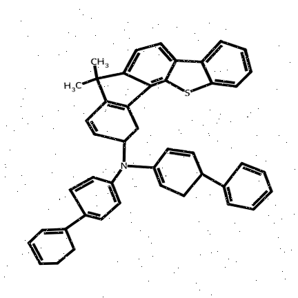 CC1(C)C2=C(CC(N(C3=CCC(c4ccccc4)C=C3)c3ccc(C4=CC=CCC4)cc3)C=C2)c2c1ccc1c2sc2ccccc21